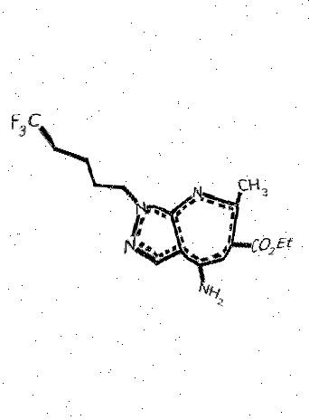 CCOC(=O)c1c(C)nc2c(cnn2CCCCC(F)(F)F)c1N